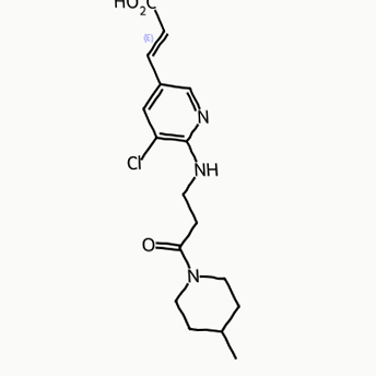 CC1CCN(C(=O)CCNc2ncc(/C=C/C(=O)O)cc2Cl)CC1